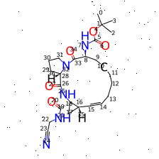 CC(C)(C)OC(=O)N[C@H]1CCCCC/C=C\[C@@H]2C[C@@]2(C(=O)NCC#N)NC(=O)[C@@H]2CCCN2C1=O